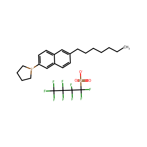 CCCCCCCc1ccc2cc([S+]3CCCC3)ccc2c1.O=S(=O)([O-])C(F)(F)C(F)(F)C(F)(F)C(F)(F)F